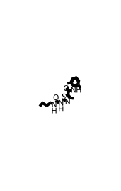 CCCCNC(=O)Nc1nc(C)c(C(=O)Nc2c(C)cccc2C)s1